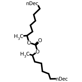 CCCCCCCCCCCCCCCC(C)OC(=O)OC(C)CCCCCCCCCCCCCCC